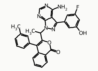 Cc1cccc(-c2c(C(C)n3nc(-c4cc(O)cc(F)c4)c4c(N)ncnc43)oc(=O)c3ccccc23)c1